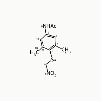 CC(=O)Nc1cc(C)c(SC[N+](=O)[O-])c(C)c1